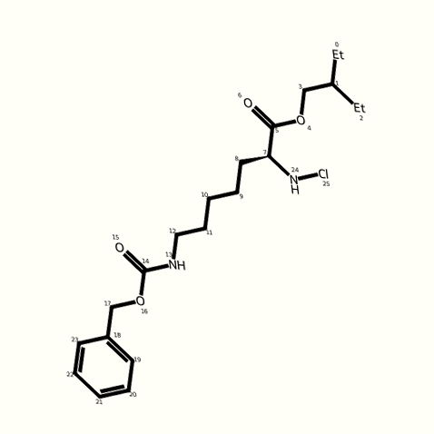 CCC(CC)COC(=O)[C@H](CCCCCNC(=O)OCc1ccccc1)NCl